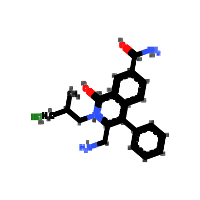 CC(C)Cn1c(CN)c(-c2ccccc2)c2ccc(C(N)=O)cc2c1=O.Cl